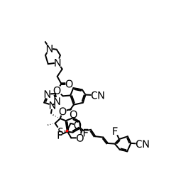 C[C@@H](S[C@H]1CO[C@H](C=CC=Cc2ccc(C#N)cc2F)OC1)[C@@](Cn1cncn1)(OC(=O)c1cc(C#N)ccc1COC(=O)CCN1CCN(C)CC1)c1ccc(F)cc1F